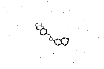 C=Cc1ccc(COc2ccc3ccccc3c2)cc1